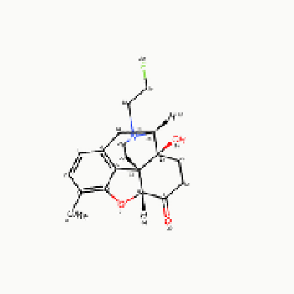 COc1ccc2c3c1O[C@H]1C(=O)CC[C@@]4(O)[C@@H](C2)N(CCF)CC[C@]314